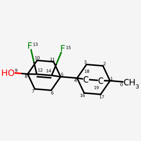 CC12CCC(C34CCC(O)(CC3)C(F)=C4F)(CC1)CC2